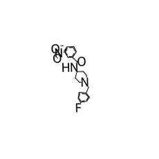 O=C(NC1CCN(Cc2ccc(F)cc2)CC1)c1cccc([N+](=O)[O-])c1